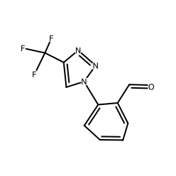 O=Cc1ccccc1-n1cc(C(F)(F)F)nn1